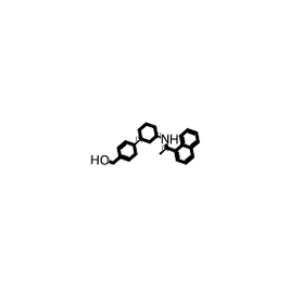 C[C@@H](N[C@H]1CCC[C@H](C2C=CC(CO)=CC2)C1)c1cccc2ccccc12